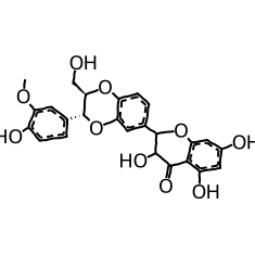 COc1cc([C@H]2Oc3cc(C4Oc5cc(O)cc(O)c5C(=O)C4O)ccc3O[C@@H]2CO)ccc1O